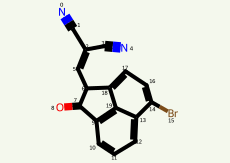 N#CC(C#N)=CC1C(=O)c2cccc3c(Br)ccc1c23